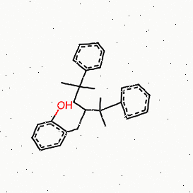 CC(C)(CC(Cc1ccccc1O)C(C)(C)c1ccccc1)c1ccccc1